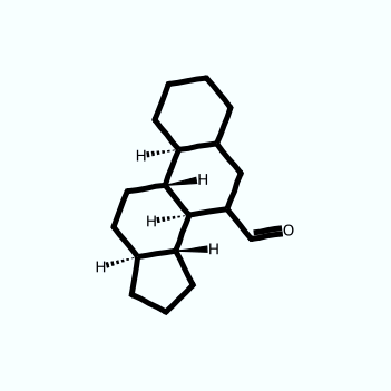 O=CC1CC2CCCC[C@@H]2[C@H]2CC[C@@H]3CCC[C@H]3[C@H]12